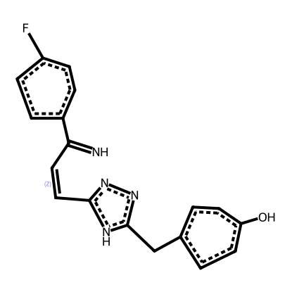 N=C(/C=C\c1nnc(Cc2ccc(O)cc2)[nH]1)c1ccc(F)cc1